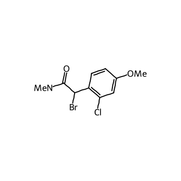 CNC(=O)C(Br)c1ccc(OC)cc1Cl